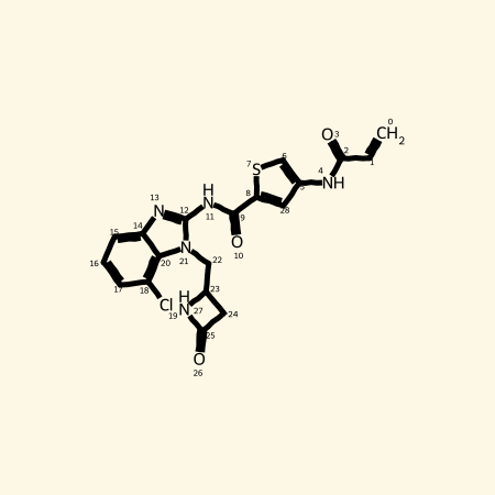 C=CC(=O)Nc1csc(C(=O)Nc2nc3cccc(Cl)c3n2CC2CC(=O)N2)c1